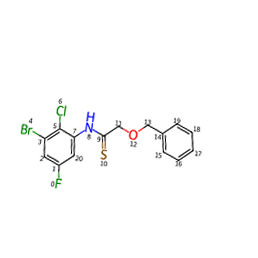 Fc1cc(Br)c(Cl)c(NC(=S)COCc2ccccc2)c1